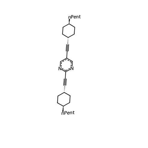 CCCCC[C@H]1CC[C@H](C#Cc2cnc(C#C[C@H]3CC[C@H](CCCCC)CC3)nc2)CC1